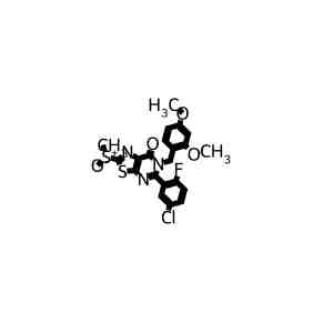 COc1ccc(Cn2c(-c3cc(Cl)ccc3F)nc3sc([S+](C)[O-])nc3c2=O)c(OC)c1